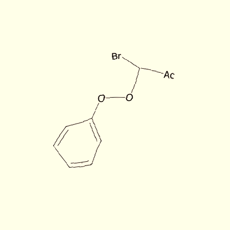 CC(=O)C(Br)OOc1ccccc1